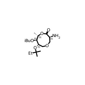 CCC(C)(C)O[C@H]1COC[C@H](N)C(=O)O[C@@H](C)[C@@H]1OCC(C)C